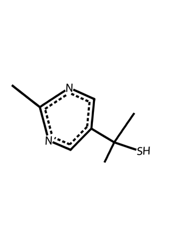 Cc1ncc(C(C)(C)S)cn1